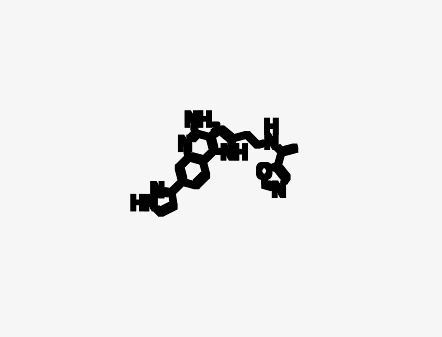 C=C(NCCc1cc2c(N)nc3cc(-c4cc[nH]n4)ccc3c2[nH]1)c1cnco1